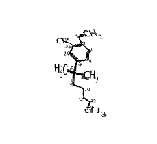 C=Cc1ccc(C(C)(C)CCCCC)cc1Cl